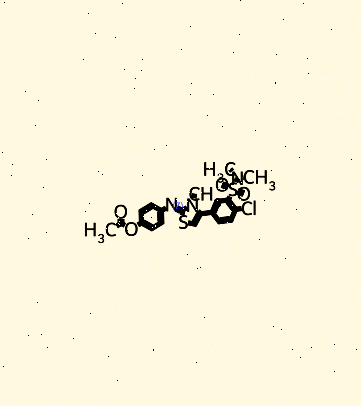 CC(=O)Oc1ccc(/N=c2\scc(-c3ccc(Cl)c(S(=O)(=O)N(C)C)c3)n2C)cc1